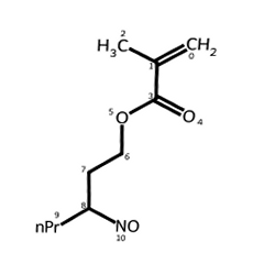 C=C(C)C(=O)OCCC(CCC)N=O